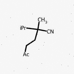 CC(=O)CCC(C)(C#N)C(C)C